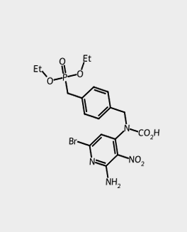 CCOP(=O)(Cc1ccc(CN(C(=O)O)c2cc(Br)nc(N)c2[N+](=O)[O-])cc1)OCC